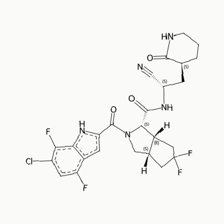 N#C[C@H](C[C@@H]1CCCNC1=O)NC(=O)[C@@H]1[C@@H]2CC(F)(F)C[C@@H]2CN1C(=O)c1cc2c(F)cc(Cl)c(F)c2[nH]1